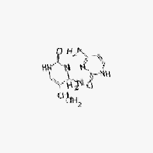 Cc1c[nH]c(=O)nc1N.Nc1cc[nH]c(=O)n1.O